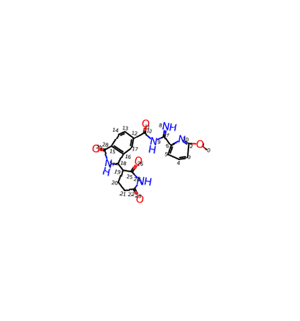 COc1cccc(C(=N)NC(=O)c2ccc3c(c2)C(C2CCC(=O)NC2=O)NC3=O)n1